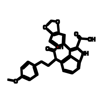 COc1ccc(CCC(C(=O)O)c2cccc3[nH]c(C(=O)O)c(-c4ccc5c(c4)OCO5)c23)cc1